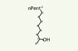 [CH2]CCCCCCCCCCC([CH2])O